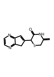 C=C1CSC(C2=Cc3nccnc3C2)C(=O)N1